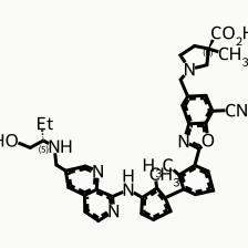 CC[C@@H](CO)NCc1cnc2c(Nc3cccc(-c4cccc(-c5nc6cc(CN7CC[C@@](C)(C(=O)O)C7)cc(C#N)c6o5)c4C)c3C)nccc2c1